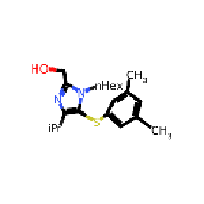 CCCCCCn1c(CO)nc(C(C)C)c1Sc1cc(C)cc(C)c1